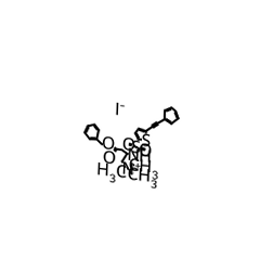 C[N+](C)(C)CC(CC(=O)OCc1ccccc1)NS(=O)(=O)c1ccc(C#Cc2ccccc2)s1.[I-]